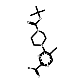 Cc1cnc(C(=O)O)nc1N1CCN(C(=O)OC(C)(C)C)CC1